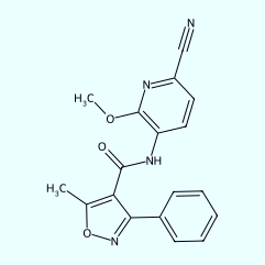 COc1nc(C#N)ccc1NC(=O)c1c(-c2ccccc2)noc1C